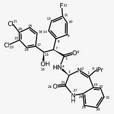 CC(C)C1=N[C@H](NC(=O)[C@H](c2ccc(F)cc2)[C@@H](O)c2ccc(Cl)c(Cl)c2)C(=O)Nc2ccccc21